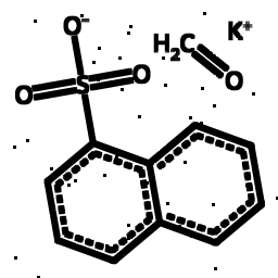 C=O.O=S(=O)([O-])c1cccc2ccccc12.[K+]